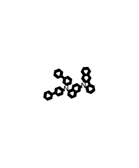 c1ccc(-c2ccc(N(c3cccc(-c4ccccc4)c3)c3cccc4cc(-n5c6ccccc6c6cc7ccccc7cc65)ccc34)cc2)cc1